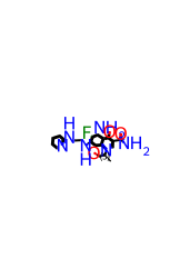 C[C@H]1COc2c(NCCNc3ccccn3)c(F)c(N)c3c(=O)c(C(N)=O)cn1c23